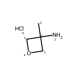 CC1(N)COC1.Cl